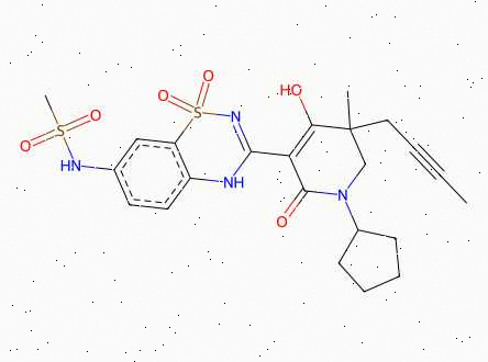 CC#CCC1(C)CN(C2CCCC2)C(=O)C(C2=NS(=O)(=O)c3cc(NS(C)(=O)=O)ccc3N2)=C1O